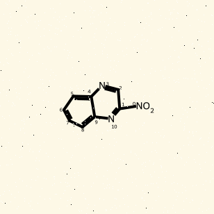 O=[N+]([O-])c1cnc2ccccc2n1